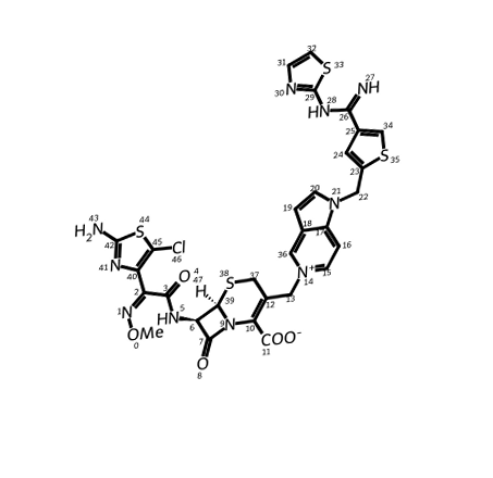 CO/N=C(\C(=O)N[C@@H]1C(=O)N2C(C(=O)[O-])=C(C[n+]3ccc4c(ccn4Cc4cc(C(=N)Nc5nccs5)cs4)c3)CS[C@H]12)c1nc(N)sc1Cl